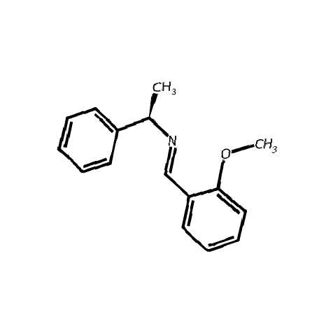 COc1ccccc1/C=N/[C@H](C)c1ccccc1